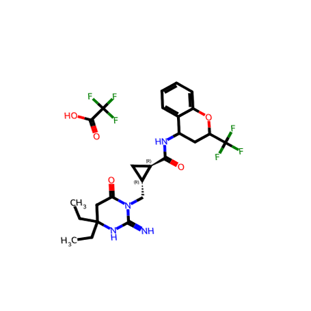 CCC1(CC)CC(=O)N(C[C@@H]2C[C@H]2C(=O)NC2CC(C(F)(F)F)Oc3ccccc32)C(=N)N1.O=C(O)C(F)(F)F